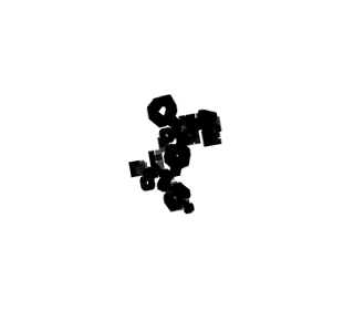 CCC(=O)N[C@H](Cc1ccc(NC(=O)[C@@H](NC(=O)c2ccnn2CC)C2CCCCCC2)c(F)c1)CN1CCN(C)CC1